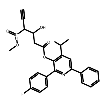 C#CC(C(O)CC(=O)Oc1c(C(C)C)cc(-c2ccccc2)nc1-c1ccc(F)cc1)[PH](=O)OC